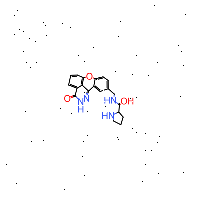 O=c1[nH]nc2c3c(cccc13)Oc1ccc(CNC(O)C3CCCN3)cc1-2